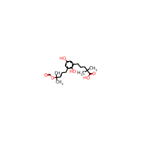 CC(C)(CCCc1cc(O)cc(CCCC(C)(C)C(=O)O)c1O)OC=O